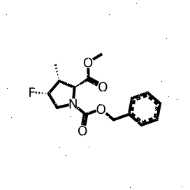 COC(=O)[C@@H]1[C@@H](C)[C@@H](F)CN1C(=O)OCc1ccccc1